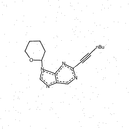 CCCCC#Cc1ncc2ncn(C3CCCCO3)c2n1